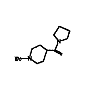 C=C(C1CCN(C(C)C)CC1)N1CCCC1